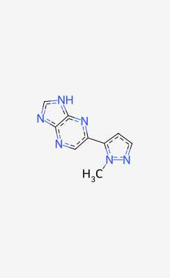 Cn1nccc1-c1cnc2nc[nH]c2n1